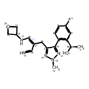 C[C@@H](O)c1cc(F)ccc1-c1nn(C)nc1C/C(C=N)=C/NC1COC1